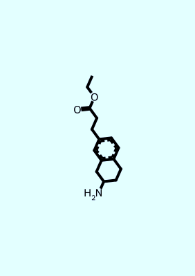 CCOC(=O)CCc1ccc2c(c1)CC(N)CC2